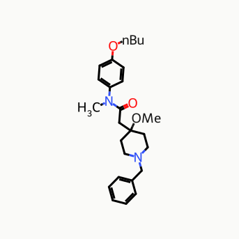 CCCCOc1ccc(N(C)C(=O)CC2(OC)CCN(Cc3ccccc3)CC2)cc1